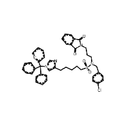 O=C1c2ccccc2C(=O)N1CCCN(Cc1ccc(Cl)cc1)S(=O)(=O)CCCCCc1cn(C(c2ccccc2)(c2ccccc2)c2ccccc2)cn1